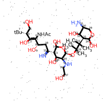 CC(=O)N/C(=C(/O)[C@@H](CO)C(C)(C)C)[C@@H](O)CC(=N)[C@@H]1C(O)O[C@@H](OC(C)(C)C(C)(C)[C@@H]2C(O)OCC(N)C2O)C(NCCO)C1O